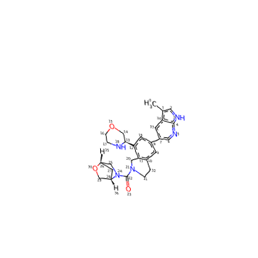 Cc1c[nH]c2ncc(-c3cc4c(c([C@@H]5COCCN5)c3)CN(C(=O)N3C[C@@H]5C[C@H]3CO5)CC4)cc12